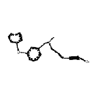 CN(CC=CC#CC(C)(C)C)Cc1cccc(Oc2ccccc2)c1